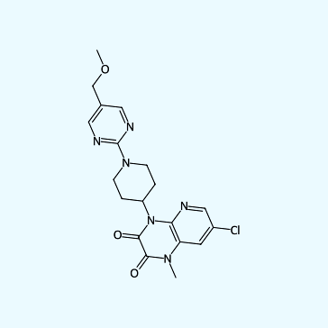 COCc1cnc(N2CCC(n3c(=O)c(=O)n(C)c4cc(Cl)cnc43)CC2)nc1